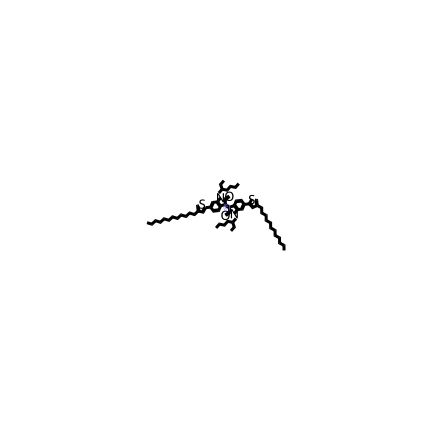 CCCCCCCCCCCCc1csc(-c2ccc3c(c2)N(CC(CC)CCCC)C(=O)/C3=C2/C(=O)N(CC(CC)CCCC)c3cc(-c4cc(CCCCCCCCCCCC)cs4)ccc32)c1